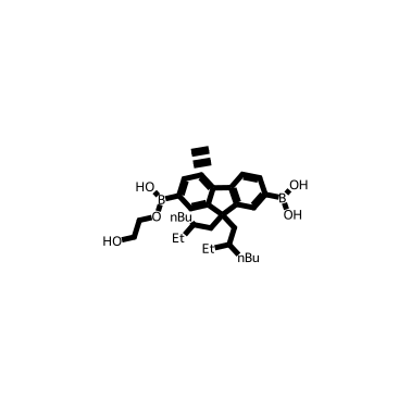 C=C.C=C.CCCCC(CC)CC1(CC(CC)CCCC)c2cc(B(O)O)ccc2-c2ccc(B(O)OCCO)cc21